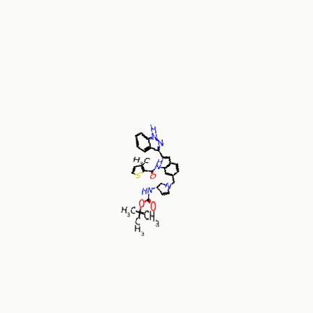 Cc1ccsc1C(=O)Nc1cc(CN2CC[C@@H](NC(=O)OC(C)(C)C)C2)ccc1/C=C/c1n[nH]c2ccccc12